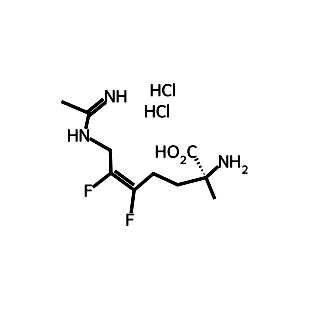 CC(=N)NC/C(F)=C(/F)CC[C@](C)(N)C(=O)O.Cl.Cl